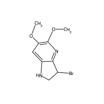 COc1cc2c(nc1OC)C(Br)CN2